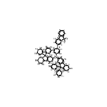 CC1(C)c2ccccc2-c2ccc(-c3ccc(N(c4ccc5c(c4)C(c4ccccc4)(c4ccccc4)c4ccccc4-5)c4ccc5c(c4)C(c4ccccc4)(c4ccccc4)C4CCCCC54)cc3)cc21